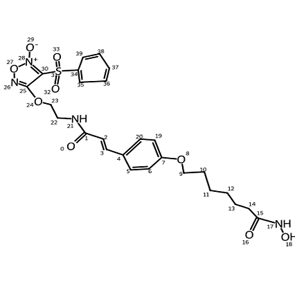 O=C(C=Cc1ccc(OCCCCCCC(=O)NO)cc1)NCCOc1no[n+]([O-])c1S(=O)(=O)c1ccccc1